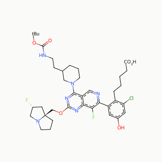 CC(C)(C)OC(=O)NCCC1CCCN(c2nc(OC[C@@]34CCCN3C[C@H](F)C4)nc3c(F)c(-c4cc(O)cc(Cl)c4CCCCC(=O)O)ncc23)C1